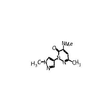 CNc1cc(C)nn(-c2cnn(C)c2)c1=O